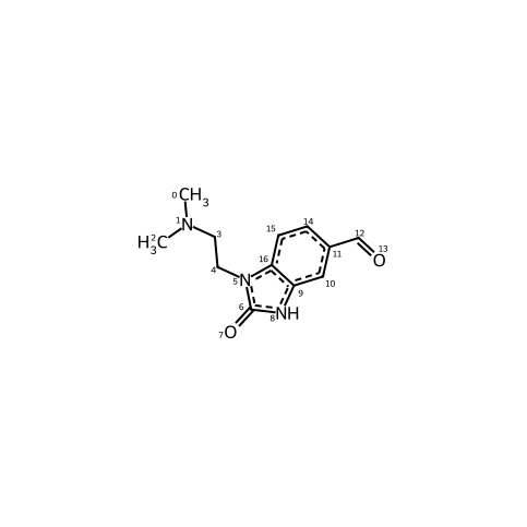 CN(C)CCn1c(=O)[nH]c2cc(C=O)ccc21